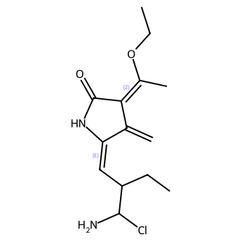 C=C1/C(=C(\C)OCC)C(=O)N/C1=C/C(CC)C(N)Cl